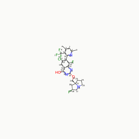 Cc1cc(C)c(C(F)(F)F)c(-c2c(Cl)cc3c(O)nc(OC[C@@]45CCCN4C[C@@H](F)C5)nc3c2F)n1